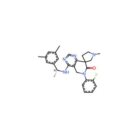 Cc1cc(C)cc([C@@H](C)Nc2ncnc3c2CN(c2ccccc2F)C(=O)C32CCN(C)C2)c1